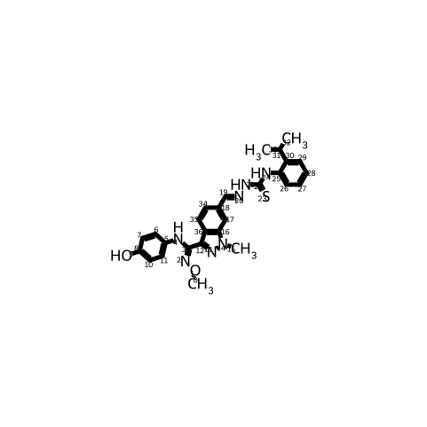 CO/N=C(/Nc1ccc(O)cc1)c1nn(C)c2cc(C=NNC(=S)Nc3ccccc3C(C)C)ccc12